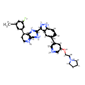 Cc1cc(F)cc(-c2ccnc3[nH]c(-c4n[nH]c5ccc(-c6cncc(OCCN7CCCC7)c6)cc45)nc23)c1